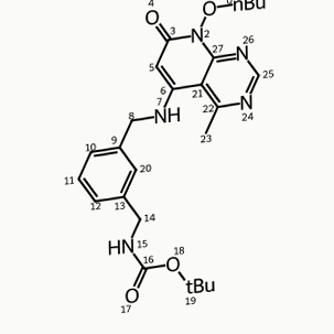 CCCCOn1c(=O)cc(NCc2cccc(CNC(=O)OC(C)(C)C)c2)c2c(C)ncnc21